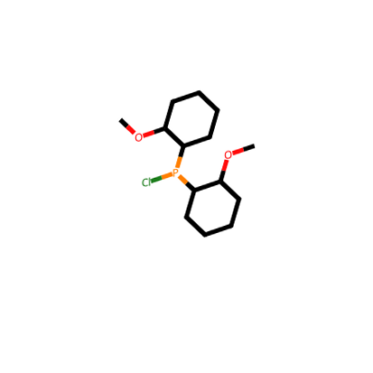 COC1CCCCC1P(Cl)C1CCCCC1OC